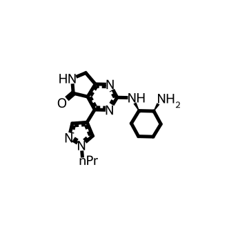 CCCn1cc(-c2nc(N[C@@H]3CCCC[C@@H]3N)nc3c2C(=O)NC3)cn1